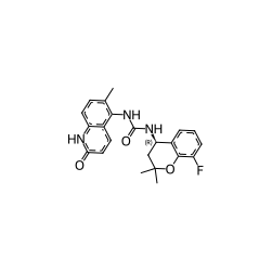 Cc1ccc2[nH]c(=O)ccc2c1NC(=O)N[C@@H]1CC(C)(C)Oc2c(F)cccc21